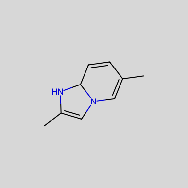 CC1=CN2C=C(C)NC2C=C1